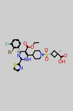 CCOC(=O)C1=C(C2CCN(S(=O)(=O)[C@H]3C[C@](C)(C(=O)O)C3)CC2)NC(c2nccs2)=N[C@@H]1c1cccc(F)c1Br